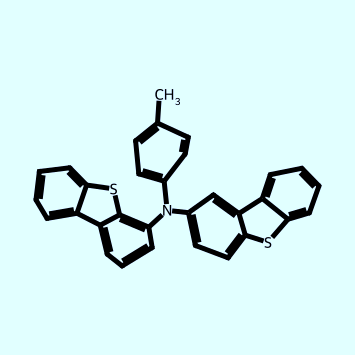 Cc1ccc(N(c2ccc3sc4ccccc4c3c2)c2cccc3c2sc2ccccc23)cc1